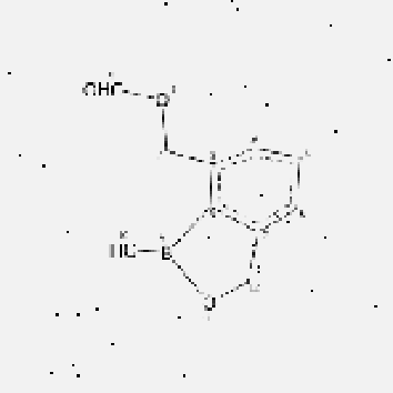 O=COCc1cccc2c1B(O)OC2